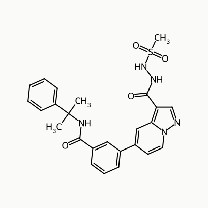 CC(C)(NC(=O)c1cccc(-c2ccn3ncc(C(=O)NNS(C)(=O)=O)c3c2)c1)c1ccccc1